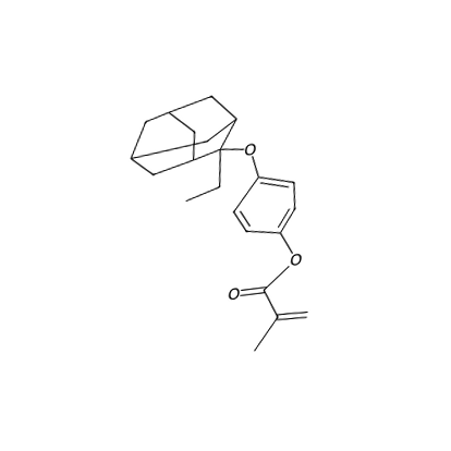 C=C(C)C(=O)Oc1ccc(OC2(CC)C3CC4CC(C3)CC2C4)cc1